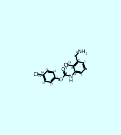 NCc1cccc(NC(=O)Oc2ccc(Cl)cc2)c1Cl